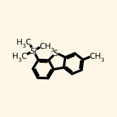 Cc1ccc2c(c1)sc1c([Si](C)(C)C)cccc12